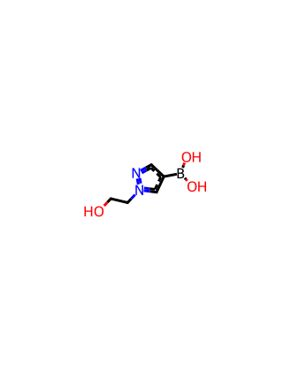 OCCn1cc(B(O)O)cn1